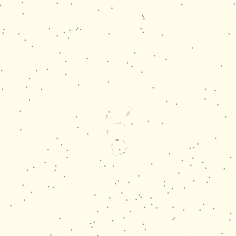 CCCCCNC(=NC#N)Nc1cccnc1